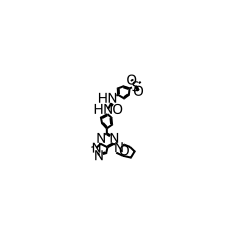 Cn1ncc2c(N3CC4CCC(C3)O4)nc(-c3ccc(NC(=O)Nc4ccc(S(C)(=O)=O)cc4)cc3)nc21